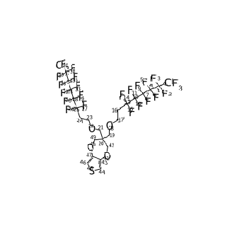 FC(F)(F)C(F)(F)C(F)(F)C(F)(F)C(F)(F)C(F)(F)CCOCC1(COCCC(F)(F)C(F)(F)C(F)(F)C(F)(F)C(F)(F)C(F)(F)F)COc2cscc2OC1